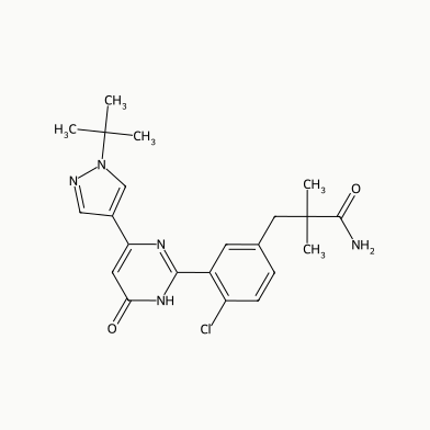 CC(C)(Cc1ccc(Cl)c(-c2nc(-c3cnn(C(C)(C)C)c3)cc(=O)[nH]2)c1)C(N)=O